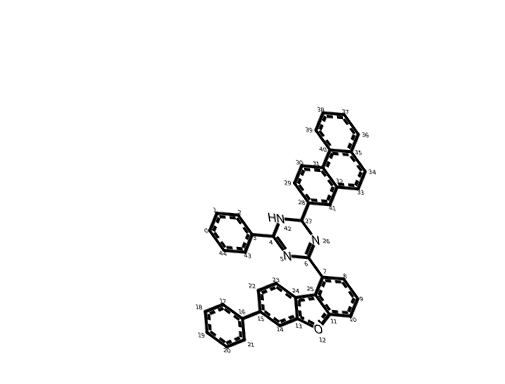 c1ccc(C2=NC(c3cccc4oc5cc(-c6ccccc6)ccc5c34)=NC(c3ccc4c(ccc5ccccc54)c3)N2)cc1